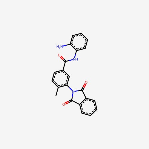 Cc1ccc(C(=O)Nc2ccccc2N)cc1N1C(=O)c2ccccc2C1=O